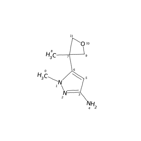 Cn1nc(N)cc1C1(C)COC1